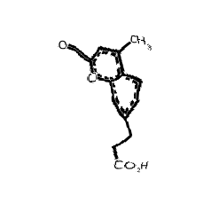 Cc1cc(=O)oc2cc(CCC(=O)O)ccc12